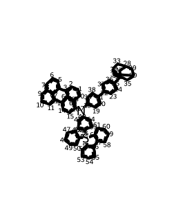 c1ccc(-c2cccc3cccc(-c4ccc(N(c5ccc(-c6ccc(C78CC9CC(CC(C9)C7)C8)cc6)cc5)c5ccc(S6(c7ccccc7)c7ccccc7-c7ccccc76)cc5)cc4)c23)cc1